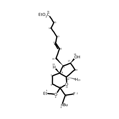 CCCCC(F)C1(OCC)CC[C@@H]2[C@@H](CC=CCCCC(=O)OCC)[C@@H](O)C[C@H]2O1